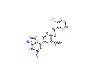 COc1cc(-c2cc(=O)[nH]c3[nH]ccc23)ccc1OCc1ccccc1C(F)(F)F